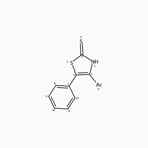 CC(=O)c1[nH]c(=S)sc1-c1ccccc1